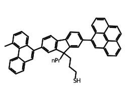 CCCC1(CCCS)c2cc(-c3cc4ccccc4c4c(C)cccc34)ccc2-c2ccc(-c3cc4cccc5ccc6cccc3c6c54)cc21